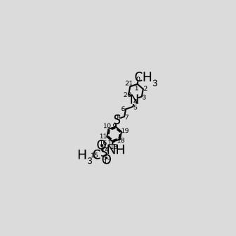 CC1CCN(CCCSc2ccc(NS(C)(=O)=O)cc2)CC1